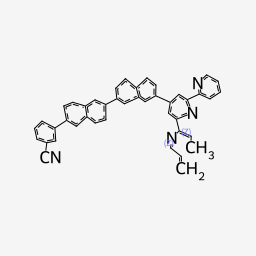 C=C/C=N\C(=C/C)c1cc(-c2ccc3ccc(-c4ccc5cc(-c6cccc(C#N)c6)ccc5c4)cc3c2)cc(-c2ccccn2)n1